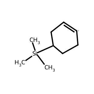 C[Si](C)(C)C1CC=[C]CC1